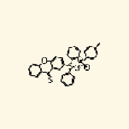 Cc1ccc(S(=O)(=O)OS(c2ccccc2)(c2ccccc2)c2ccc3oc4ccccc4c(=S)c3c2)cc1